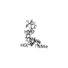 CNc1cc(-n2nc(CO)cc2Nc2cc(NC(=O)c3cccc(C(C)(F)F)c3)ccc2C)ncn1